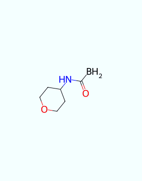 BC(=O)NC1CCOCC1